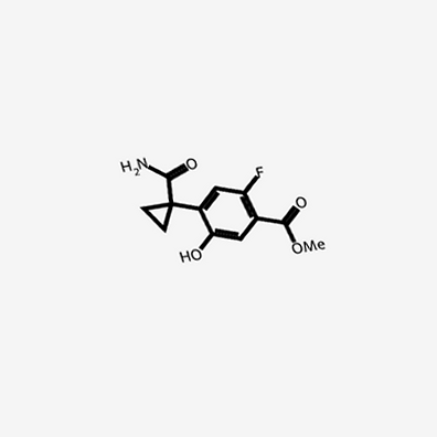 COC(=O)c1cc(O)c(C2(C(N)=O)CC2)cc1F